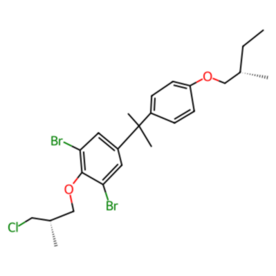 CC[C@H](C)COc1ccc(C(C)(C)c2cc(Br)c(OC[C@H](C)CCl)c(Br)c2)cc1